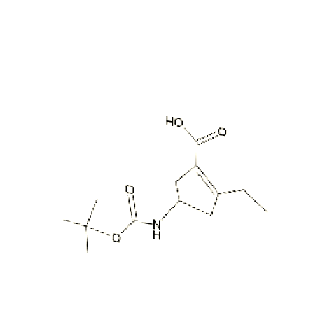 CCC1=C(C(=O)O)CC(NC(=O)OC(C)(C)C)C1